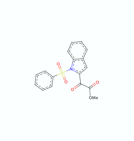 COC(=O)C(=O)c1cc2ccccc2n1S(=O)(=O)c1ccccc1